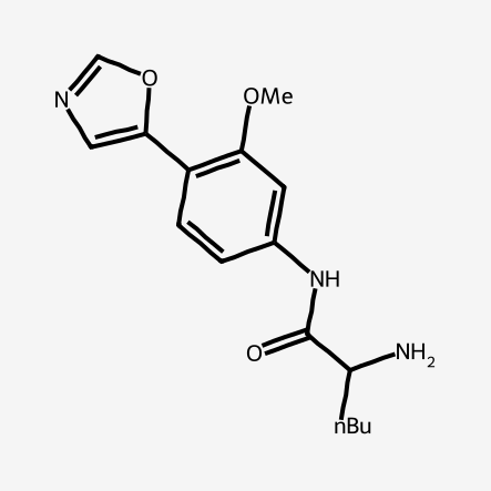 CCCCC(N)C(=O)Nc1ccc(-c2cnco2)c(OC)c1